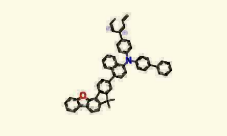 C=C/C=C(\C=C/C)c1ccc(N(c2ccc(-c3ccccc3)cc2)c2ccc(-c3ccc4c(c3)C(C)(C)c3ccc5c(oc6ccccc65)c3-4)c3ccccc23)cc1